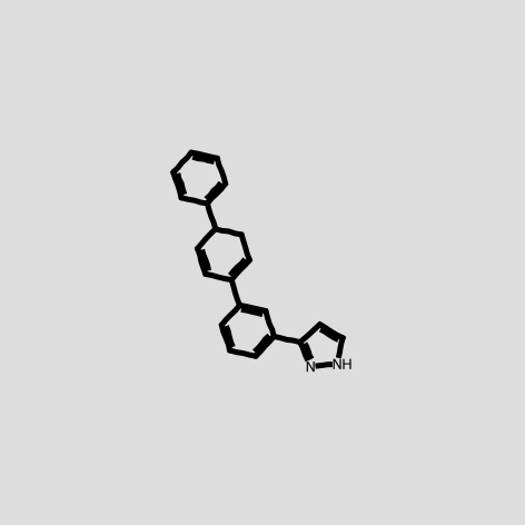 C1=CC(c2ccccc2)CC=C1c1cccc(-c2cc[nH]n2)c1